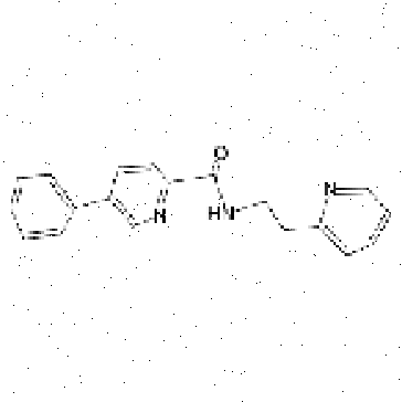 O=C(NCCc1ccccn1)c1ccc(-c2ccccc2)cn1